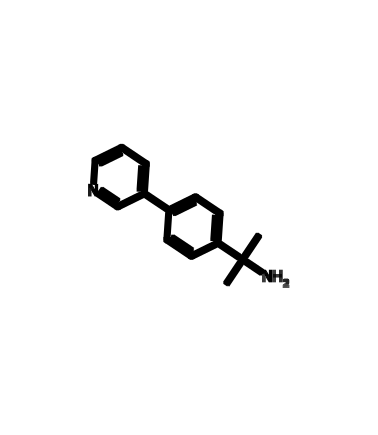 CC(C)(N)c1ccc(-c2cccnc2)cc1